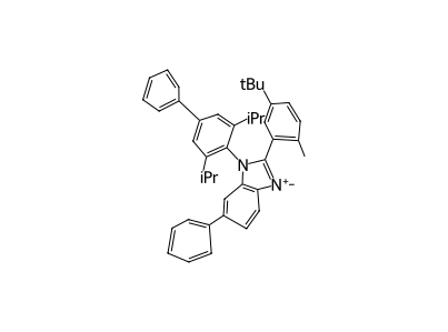 Cc1ccc(C(C)(C)C)cc1-c1n(-c2c(C(C)C)cc(-c3ccccc3)cc2C(C)C)c2cc(-c3ccccc3)ccc2[n+]1C